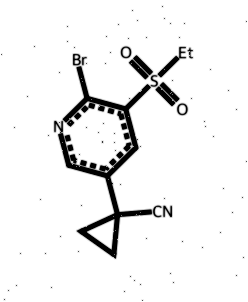 CCS(=O)(=O)c1cc(C2(C#N)CC2)cnc1Br